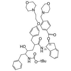 CC(C)(C)OC(=O)NC(Cc1ccccc1)C(O)CC(Cc1ccc(OCCN2CCOCC2)cc1)C(=O)N[C@H]1c2ccccc2C[C@@H]1OC(=O)c1ccc(CN2CCOCC2)cc1